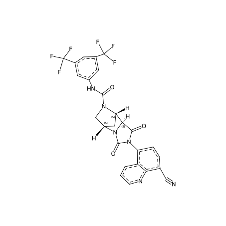 N#Cc1ccc(N2C(=O)[C@@H]3[C@@H]4C[C@@H](CN4C(=O)Nc4cc(C(F)(F)F)cc(C(F)(F)F)c4)N3C2=O)c2cccnc12